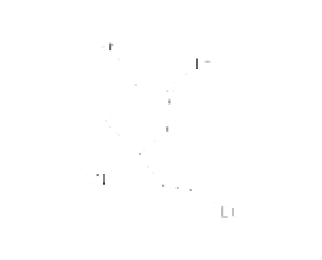 [C-]#[N+]C(COCC)(COCC)COCC